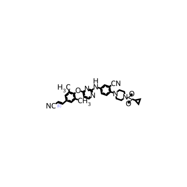 Cc1cc(/C=C/C#N)cc(C)c1Oc1ccnc(Nc2ccc(N3CCN(S(=O)(=O)C4CC4)CC3)c(C#N)c2)n1